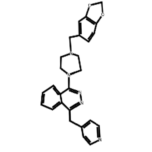 c1ccc2c(N3CCN(Cc4ccc5c(c4)OCO5)CC3)nnc(Cc3ccncc3)c2c1